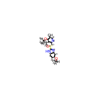 [2H]C([2H])([2H])Oc1ccc2[nH]c([S+]([O-])Cc3ncc(C)c(OC([2H])([2H])[2H])c3C)nc2c1